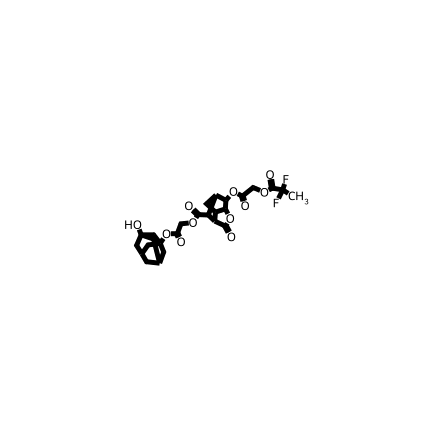 CC(F)(F)C(=O)OCC(=O)OC1C2CC3C1OC(=O)C3C2C(=O)OCC(=O)OC12CC3CC(CC(O)(C3)C1)C2